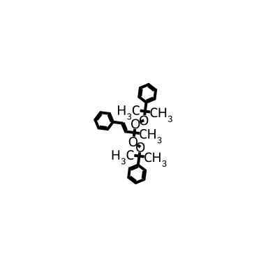 CC(C=Cc1ccccc1)(OOC(C)(C)c1ccccc1)OOC(C)(C)c1ccccc1